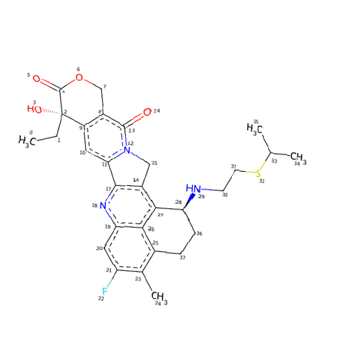 CC[C@@]1(O)C(=O)OCc2c1cc1n(c2=O)Cc2c-1nc1cc(F)c(C)c3c1c2[C@@H](NCCSC(C)C)CC3